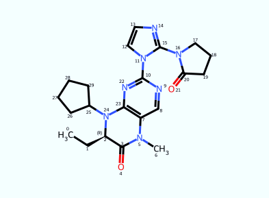 CC[C@@H]1C(=O)N(C)c2cnc(-n3ccnc3N3CCCC3=O)nc2N1C1CCCC1